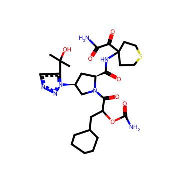 CC(C)(O)c1cnnn1[C@H]1C[C@@H](C(=O)NC2(C(=O)C(N)=O)CCSCC2)N(C(=O)C(CC2CCCCC2)OC(N)=O)C1